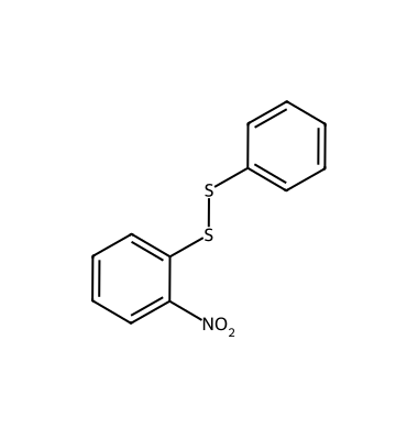 O=[N+]([O-])c1ccccc1SSc1ccccc1